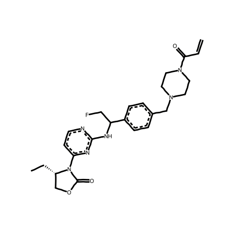 C=CC(=O)N1CCN(Cc2ccc(C(CF)Nc3nccc(N4C(=O)OC[C@@H]4CC)n3)cc2)CC1